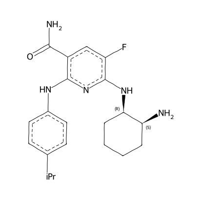 CC(C)c1ccc(Nc2nc(N[C@@H]3CCCC[C@@H]3N)c(F)cc2C(N)=O)cc1